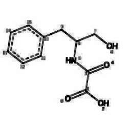 O=C(O)C(=O)NC(CO)Cc1ccccc1